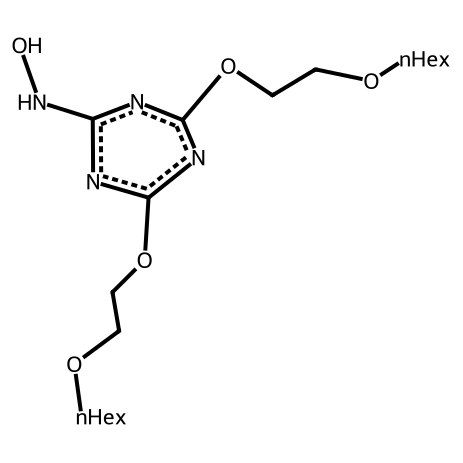 CCCCCCOCCOc1nc(NO)nc(OCCOCCCCCC)n1